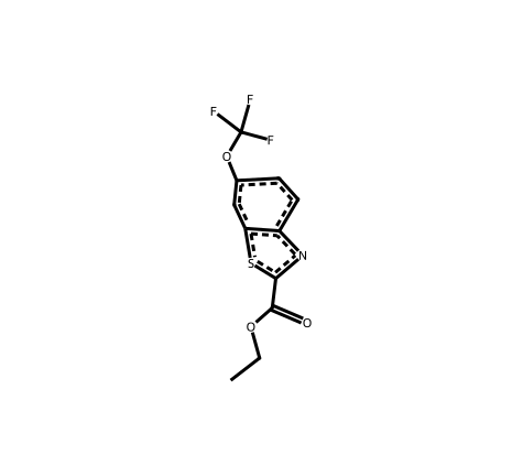 CCOC(=O)c1nc2ccc(OC(F)(F)F)cc2s1